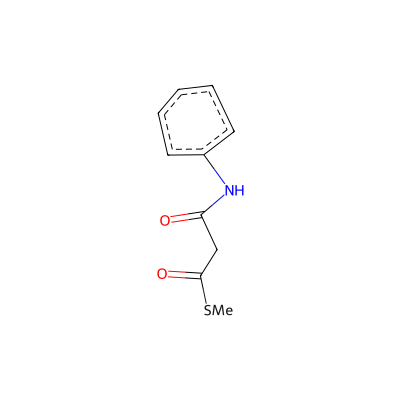 CSC(=O)CC(=O)Nc1ccccc1